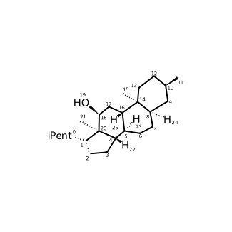 CCC[C@@H](C)[C@H]1CC[C@H]2[C@@H]3CC[C@@H]4C[C@H](C)CC[C@]4(C)[C@H]3C[C@H](O)[C@]12C